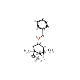 CC1(C)C[C@H](OCc2ccccc2)C[C@@]2(C)O[C@@]12C